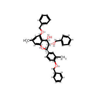 Cc1cc(OCc2ccccc2)c2c(c1)O[C@H](c1ccc(OCc3ccccc3)c(C)c1)[C@@H](OCc1ccccc1)[C@H]2O